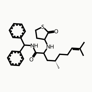 CC(C)=CCC[C@H](C)CC(NC1CCSC1=O)C(=O)NC(c1ccccc1)c1ccccc1